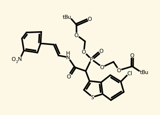 CC(C)(C)C(=O)OCOP(=O)(OCOC(=O)C(C)(C)C)C(C(=O)NC=Cc1cccc([N+](=O)[O-])c1)c1csc2ccc(Cl)cc12